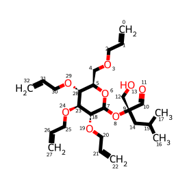 C=CCOC[C@H]1OC(O[C@@](C=O)(CO)CC(C)C)[C@H](OCC=C)[C@@H](OCC=C)[C@@H]1OCC=C